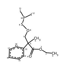 CCOC(=O)C(C)(COSP(I)I)c1ccccn1